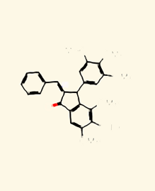 COc1cc2c(c(OC)c1C=O)C(c1cc(OC)c(OC)c(OC)c1)/C(=C/c1ccccc1)C2=O